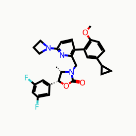 COc1ccc(C2CC2)cc1-c1ccc(N2CCC2)nc1CN1C(=O)O[C@H](c2cc(F)cc(F)c2)[C@@H]1C